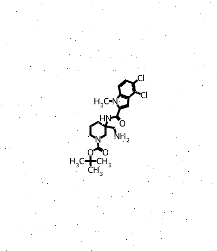 Cn1c(C(=O)NC2(CN)CCCN(C(=O)OC(C)(C)C)C2)cc2c(Cl)c(Cl)ccc21